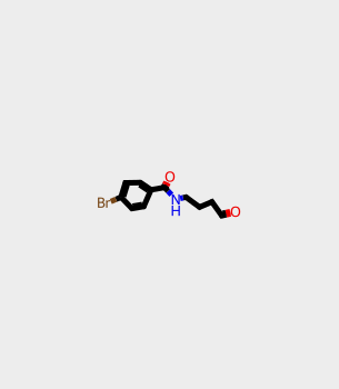 O=CCCCNC(=O)c1ccc(Br)cc1